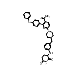 NC(=O)c1ccc(N2CCN(Cc3cccc(NC4CCC(=O)NC4=O)c3)CC2)nc1-c1ccc(Oc2ccccc2)cc1